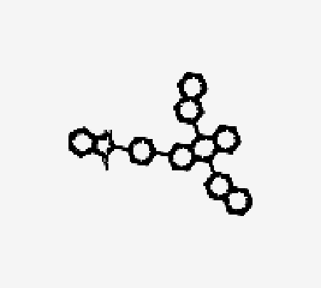 Cn1c(-c2ccc(-c3ccc4c(-c5ccc6ccccc6c5)c5ccccc5c(-c5ccc6ccccc6c5)c4c3)cc2)nc2ccccc21